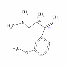 C/C=C(/c1cccc(OC)c1)[C@@H](C)CN(C)C